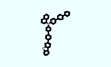 c1ccc(-c2ccc(-c3ccc(N(c4ccc(-c5ccc(-c6ccc7c(c6)oc6ccccc67)cc5)cc4)c4cccc5ccccc45)cc3)cc2)cc1